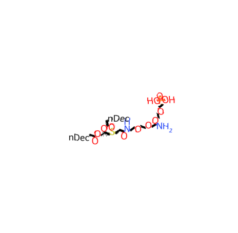 CCCCCCCCCCCC(=O)OC[C@H](CSCCC(=O)NCCOCCOCC(N)OCCOCCP(=O)(O)O)OC(=O)CCCCCCCCCCC